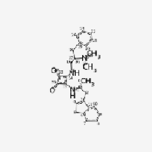 C[C@H](CC1=CCc2ccccc21)Nc1c(NC[C@@H](Cc2ccccc2)N(C)C)c(=O)c1=O